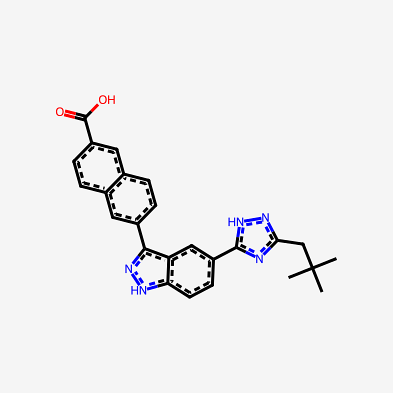 CC(C)(C)Cc1n[nH]c(-c2ccc3[nH]nc(-c4ccc5cc(C(=O)O)ccc5c4)c3c2)n1